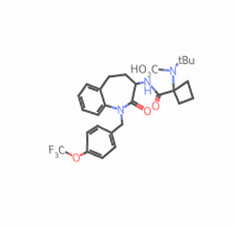 CC(C)(C)N(C(=O)O)C1(C(=O)NC2CCc3ccccc3N(Cc3ccc(OC(F)(F)F)cc3)C2=O)CCC1